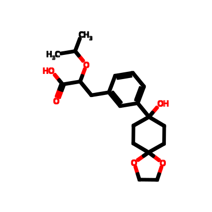 CC(C)OC(Cc1cccc(C2(O)CCC3(CC2)OCCO3)c1)C(=O)O